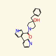 O=C(c1cnccc1-c1cccnc1)N1CCC(O)(Cc2ccccc2)CC1